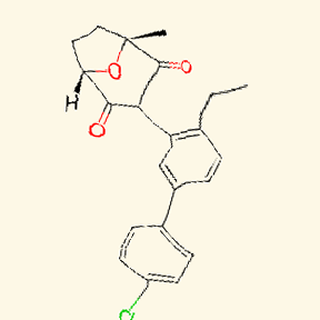 CCc1ccc(-c2ccc(Cl)cc2)cc1C1C(=O)[C@@H]2CC[C@@](C)(O2)C1=O